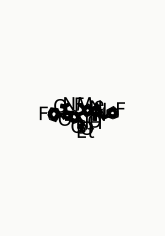 CCS(=O)(=O)Nc1cc2oc(-c3ccc(F)cc3)c(C(=O)NC)c2cc1-c1cc2c(=O)n(Cc3ccc(F)cc3)nnc2cc1F